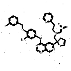 O=S(=O)=CN(CCc1ccccn1)CC1(c2cc3c(Nc4ccc(OCc5cccc(F)c5)c(Br)c4)ncnc3cn2)CC=CO1